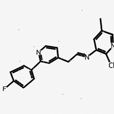 Cc1cnc(Cl)c(N=CCc2ccnc(-c3ccc(F)cc3)c2)c1